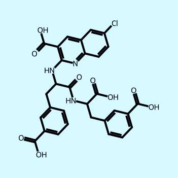 O=C(O)c1cccc(CC(NC(=O)C(Cc2cccc(C(=O)O)c2)Nc2nc3ccc(Cl)cc3cc2C(=O)O)C(=O)O)c1